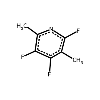 Cc1nc(F)c(C)c(F)c1F